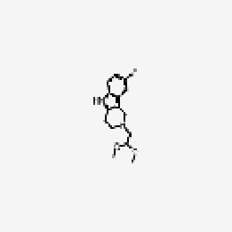 COC(CN1CCc2[nH]c3ccc(F)cc3c2C1)OC